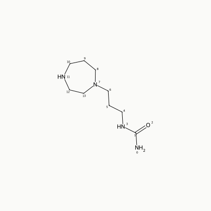 NC(=O)NCCCN1CCCNCC1